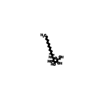 CCCCCCCCCCCCNC1O[C@H](CO)[C@@H](O)[C@H](O)[C@H]1O